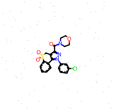 O=C(c1nn(-c2cccc(Cl)c2)c2c1CS(=O)(=O)c1ccccc1-2)N1CCOCC1